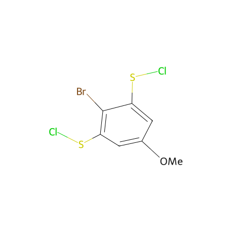 COc1cc(SCl)c(Br)c(SCl)c1